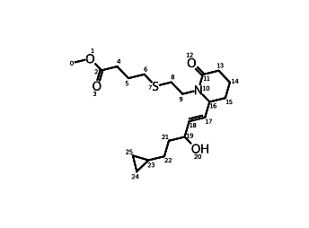 COC(=O)CCCSCCN1C(=O)CCCC1C=CC(O)CCC1CC1